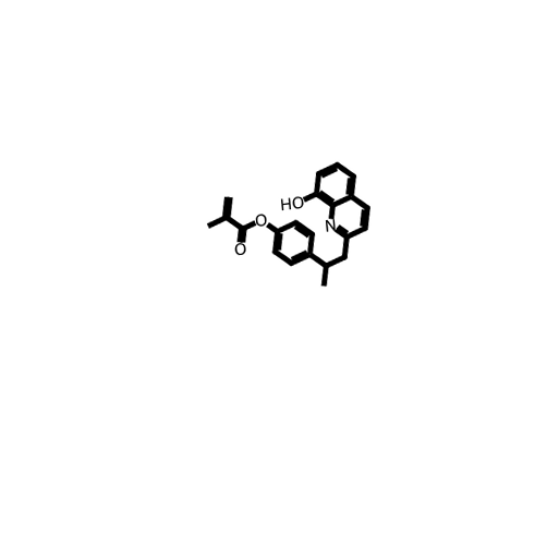 C=C(C)C(=O)Oc1ccc(C(C)Cc2ccc3cccc(O)c3n2)cc1